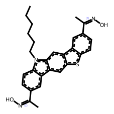 CCCCCCn1c2ccc(/C(C)=N\O)cc2c2cc3sc4ccc(/C(C)=N\O)cc4c3cc21